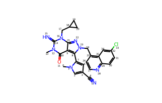 Cn1cc(C#N)cc1-c1c2c(=O)n(C)c(=N)n(CC3CC3)c2nn1Cc1ccnc2ccc(Cl)cc12